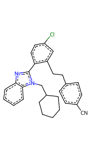 N#Cc1ccc(CCc2cc(Cl)ccc2-c2nc3ccccc3n2CC2CCCCC2)cc1